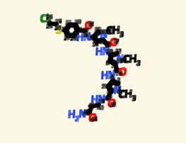 Cn1cc(NC(=O)c2cc(NC(=O)c3cc(NC(=O)c4ccc(SCCCl)cc4)cn3C)cn2C)cc1C(=O)NCCC(N)=O